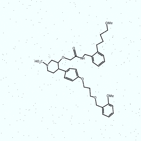 COCCCCc1ccccc1CNC(=O)COC1CN(C(=O)O)CCC1c1ccc(OCCCOCc2ccccc2OC)cc1